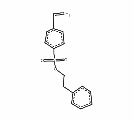 C=Cc1ccc(S(=O)(=O)OCCc2ccccc2)cc1